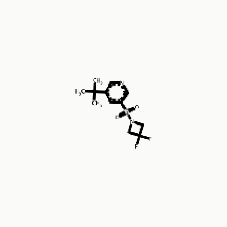 CC(C)(C)c1cncc(S(=O)(=O)N2CC(F)(F)C2)c1